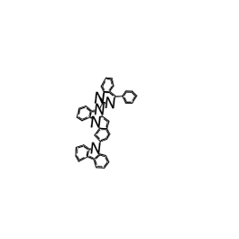 c1ccc(-c2nc(-n3c4ccccc4n4c5cc(-n6c7ccccc7c7ccccc76)ccc5cc34)nc3ccccc23)cc1